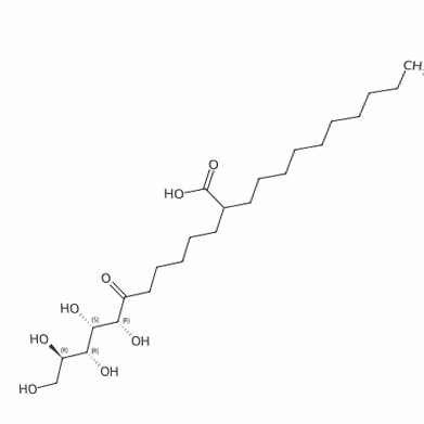 CCCCCCCCCCC(CCCCCC(=O)[C@H](O)[C@@H](O)[C@H](O)[C@H](O)CO)C(=O)O